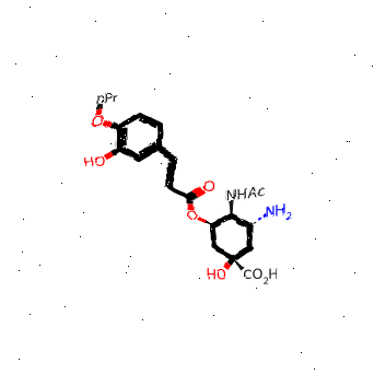 CCCOc1ccc(/C=C/C(=O)O[C@@H]2C[C@](O)(C(=O)O)C[C@@H](N)[C@@H]2NC(C)=O)cc1O